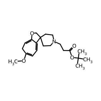 COC1=CC=C2C(=CC1)OCC21CCN(CCC(=O)OC(C)(C)C)CC1